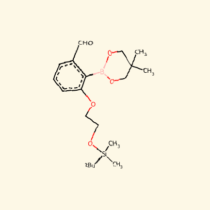 CC1(C)COB(c2c(C=O)cccc2OCCO[Si](C)(C)C(C)(C)C)OC1